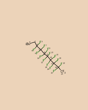 CC[C](C)CC(F)(F)C(F)(F)C(F)(F)C(F)(F)C(F)(F)C(F)(F)C(F)(F)C(F)(F)F